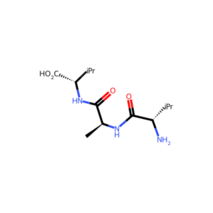 CC(C)[C@H](N)C(=O)N[C@@H](C)C(=O)N[C@H](C(=O)O)C(C)C